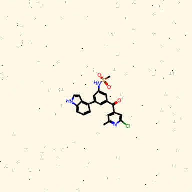 Cc1cc(C(=O)c2cc(NS(C)(=O)=O)cc(-c3cccc4[nH]ccc34)c2)cc(Cl)n1